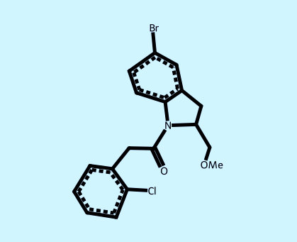 COCC1Cc2cc(Br)ccc2N1C(=O)Cc1ccccc1Cl